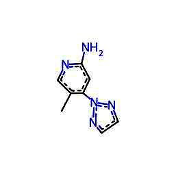 Cc1cnc(N)cc1-n1nccn1